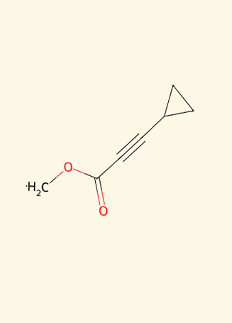 [CH2]OC(=O)C#CC1CC1